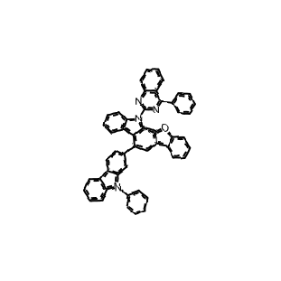 c1ccc(-c2nc(-n3c4ccccc4c4c(-c5ccc6c7ccccc7n(-c7ccccc7)c6c5)cc5c6ccccc6oc5c43)nc3ccccc23)cc1